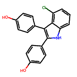 Oc1ccc(-c2[nH]c3cccc(Cl)c3c2-c2ccc(O)cc2)cc1